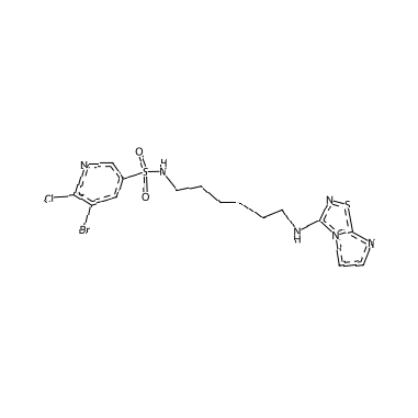 O=S(=O)(NCCCCCCNc1nsc2nccn12)c1cnc(Cl)c(Br)c1